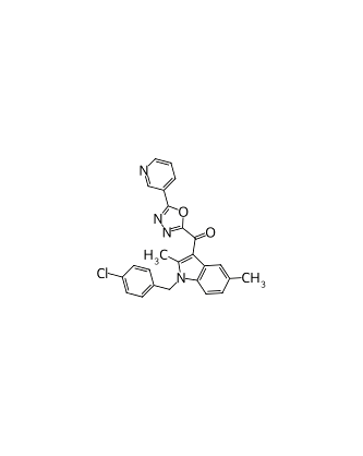 Cc1ccc2c(c1)c(C(=O)c1nnc(-c3cccnc3)o1)c(C)n2Cc1ccc(Cl)cc1